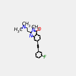 CN(C)CCc1nc2cc(C#Cc3cccc(F)c3)ccc2c(=O)n1C